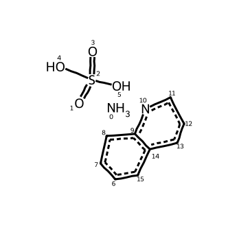 N.O=S(=O)(O)O.c1ccc2ncccc2c1